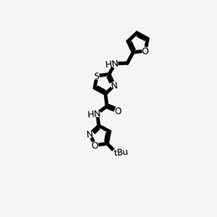 CC(C)(C)c1cc(NC(=O)c2csc(NCc3ccco3)n2)no1